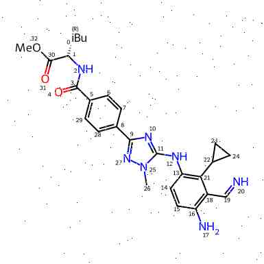 CC[C@@H](C)C(NC(=O)c1ccc(-c2nc(Nc3ccc(N)c(C=N)c3C3CC3)n(C)n2)cc1)C(=O)OC